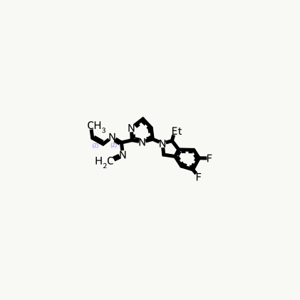 C=N/C(=N\C=C/C)c1nccc(N2Cc3cc(F)c(F)cc3C2CC)n1